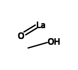 CO.[O]=[La]